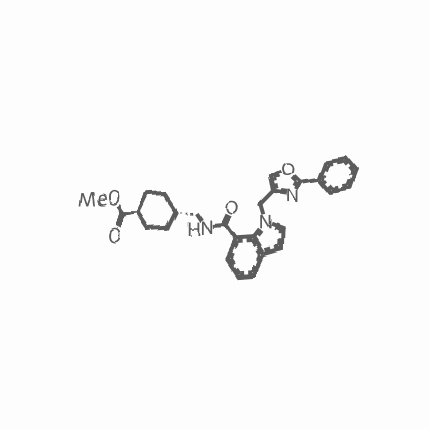 COC(=O)[C@H]1CC[C@H](CNC(=O)c2cccc3ccn(Cc4coc(-c5ccccc5)n4)c23)CC1